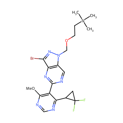 COc1ncnc(C2CC2(F)F)c1-c1ncc2c(n1)c(Br)nn2COCC[Si](C)(C)C